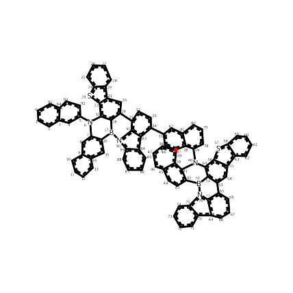 c1ccc2cc(N3c4cc5ccccc5cc4B4c5c(cc6c(sc7ccccc76)c53)-c3ccc(-c5ccc6c(N7c8c(ccc9ccccc89)B8c9c(cc%10c(sc%11ccccc%11%10)c97)-c7cccc9c%10ccccc%10n8c79)cccc6c5)c5c6ccccc6n4c35)ccc2c1